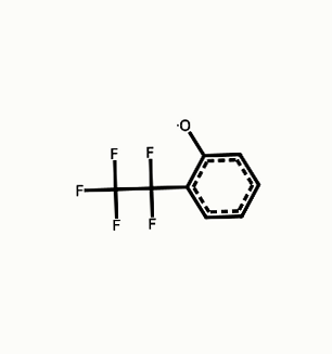 [O]c1ccccc1C(F)(F)C(F)(F)F